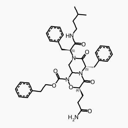 CC(C)CCNC(=O)[C@H](Cc1ccccc1)N1CC2N(C(=O)OCCc3ccccc3)O[C@H](CCC(N)=O)C(=O)N2[C@@H](Cc2ccccc2)C1=O